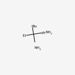 CCCC(C)(CC)C(C)(C)C.N.N